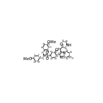 COc1ccc(CN(Cc2ccc(OC)cc2)S(=O)(=O)c2ccc(-c3nc4cc(C)ccn4c3CC3CNCCO3)c(C(F)(F)F)c2)cc1